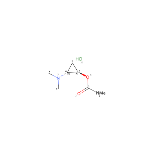 CNC(=O)O[C@@H]1C[C@H]1N(C)C.Cl